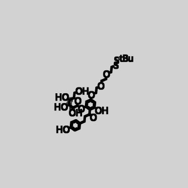 CC(C)(C)SSCCOCCOCCOc1cc(O)c(C(=O)CCc2ccc(O)cc2)c(OC2OC(CO)[C@@H](O)[C@H](O)[C@@H]2O)c1